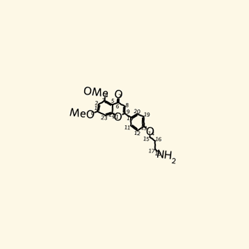 COc1cc(OC)c2c(=O)cc(-c3ccc(OCCCN)cc3)oc2c1